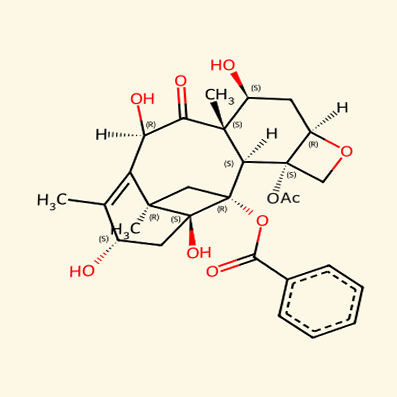 CC(=O)O[C@@]12CO[C@@H]1C[C@H](O)[C@@]1(C)C(=O)[C@H](O)C3=C(C)[C@@H](O)C[C@]4(O)[C@]3(C)C[C@@]4(OC(=O)c3ccccc3)[C@H]21